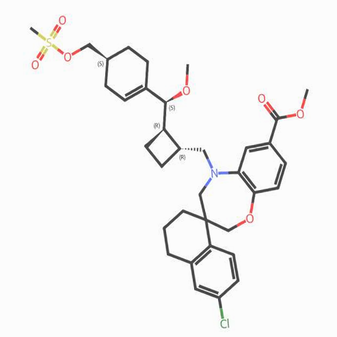 COC(=O)c1ccc2c(c1)N(C[C@@H]1CC[C@H]1[C@H](OC)C1=CC[C@@H](COS(C)(=O)=O)CC1)CC1(CCCc3cc(Cl)ccc31)CO2